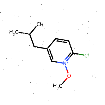 CO[n+]1cc(CC(C)C)ccc1Cl